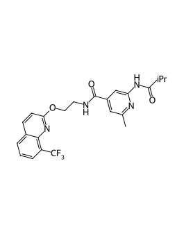 Cc1cc(C(=O)NCCOc2ccc3cccc(C(F)(F)F)c3n2)cc(NC(=O)C(C)C)n1